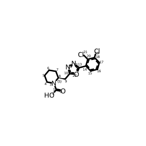 O=C(O)N1CCCC[C@H]1Cc1nnc(-c2cccc(Cl)c2Cl)o1